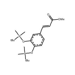 COC(=O)/C=C/c1ccc(O[Si](C)(C)C(C)(C)C)c(O[Si](C)(C)C(C)(C)C)c1